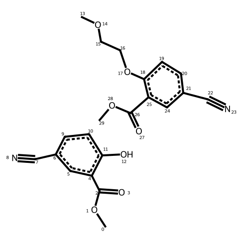 COC(=O)c1cc(C#N)ccc1O.COCCOc1ccc(C#N)cc1C(=O)OC